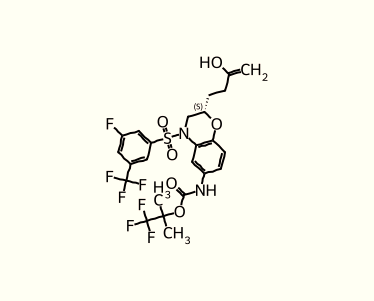 C=C(O)CC[C@H]1CN(S(=O)(=O)c2cc(F)cc(C(F)(F)F)c2)c2cc(NC(=O)OC(C)(C)C(F)(F)F)ccc2O1